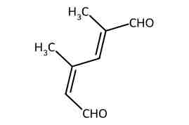 CC(=CC=O)C=C(C)C=O